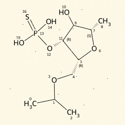 CC(C)OC[C@H]1O[C@@H](C)C(O)[C@H]1OP(O)(O)=S